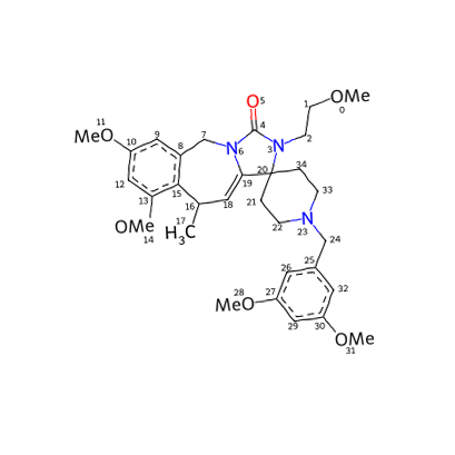 COCCN1C(=O)N2Cc3cc(OC)cc(OC)c3C(C)C=C2C12CCN(Cc1cc(OC)cc(OC)c1)CC2